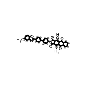 Cc1ccc2oc(-c3ccc(-c4ccc(-n5c(=O)c6c(N)c7c(=O)c8ccccc8c(=O)c7c(O)c6c5=O)cc4)cc3)nc2c1